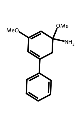 COC1=CC(N)(OC)CC(c2ccccc2)=C1